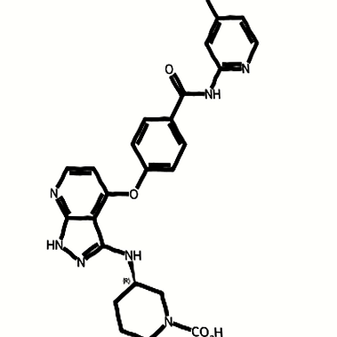 N#Cc1ccnc(NC(=O)c2ccc(Oc3ccnc4[nH]nc(N[C@@H]5CCCN(C(=O)O)C5)c34)cc2)c1